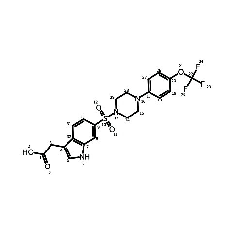 O=C(O)Cc1c[nH]c2cc(S(=O)(=O)N3CCN(c4ccc(OC(F)(F)F)cc4)CC3)ccc12